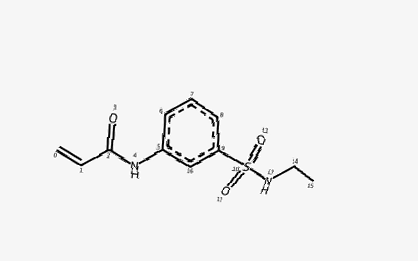 C=CC(=O)Nc1cccc(S(=O)(=O)NCC)c1